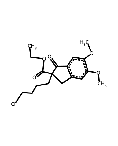 CCOC(=O)C1(CCCCCl)Cc2cc(OC)c(OC)cc2C1=O